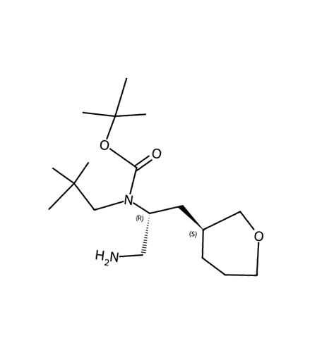 CC(C)(C)CN(C(=O)OC(C)(C)C)[C@@H](CN)C[C@@H]1CCCOC1